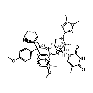 COc1ccc(C(OC[C@@]23CN(c4nc(C)n(C)n4)[C@@H]([C@H](n4cc(C)c(=O)[nH]c4=O)O2)[C@@H]3OP(OCCC#N)N(C(C)C)C(C)C)(c2ccccc2)c2ccc(OC)cc2)cc1